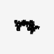 CC(Nc1nccc(N2C(=O)N(C)C[C@@H]2C(C)C)n1)c1cn(-c2cc(F)cc(Cl)c2)cn1